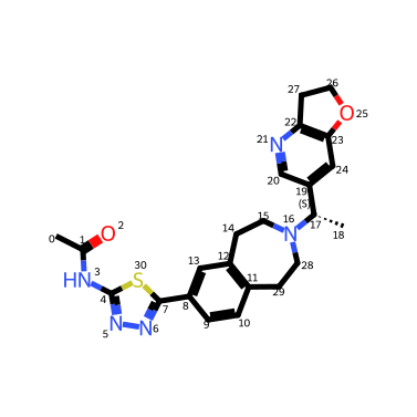 CC(=O)Nc1nnc(-c2ccc3c(c2)CCN([C@@H](C)c2cnc4c(c2)OCC4)CC3)s1